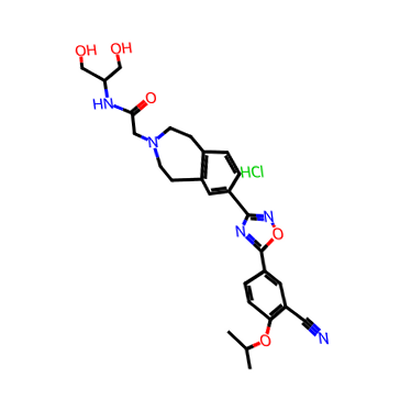 CC(C)Oc1ccc(-c2nc(-c3ccc4c(c3)CCN(CC(=O)NC(CO)CO)CC4)no2)cc1C#N.Cl